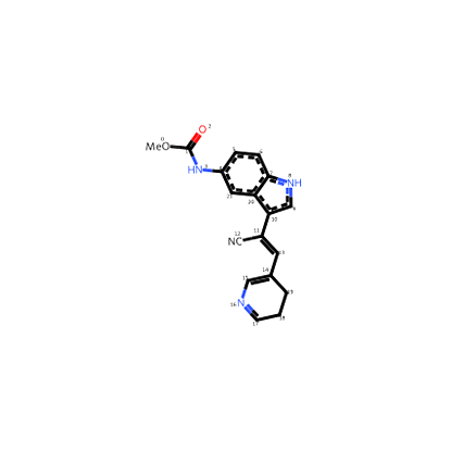 COC(=O)Nc1ccc2[nH]cc(/C(C#N)=C/C3=CN=CCC3)c2c1